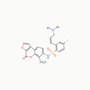 CCN(CC)C/C=C\c1cc(F)ccc1S(=O)(=O)Nc1ccc2c(oc(=O)c3occc32)c1C(=O)O